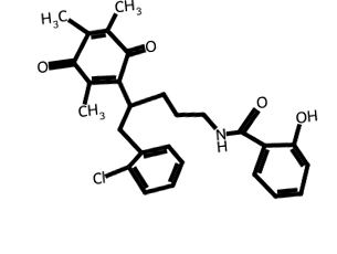 CC1=C(C)C(=O)C(C(CCCNC(=O)c2ccccc2O)Cc2ccccc2Cl)=C(C)C1=O